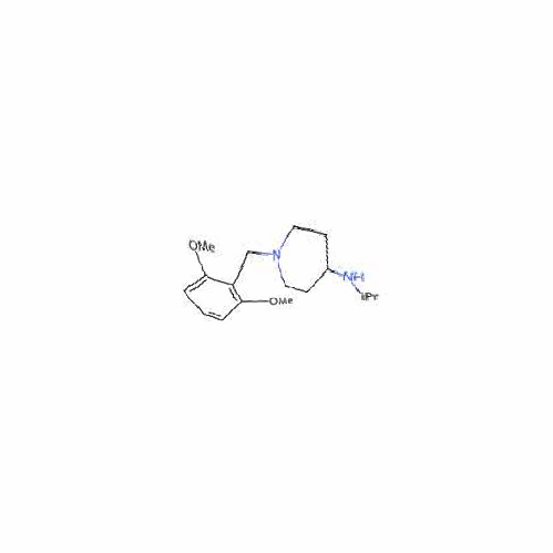 COc1cccc(OC)c1CN1CCC(NC(C)C)CC1